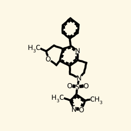 Cc1noc(C)c1S(=O)(=O)N1CCc2nc(-c3ccccc3)c3c(c2C1)COC(C)C3